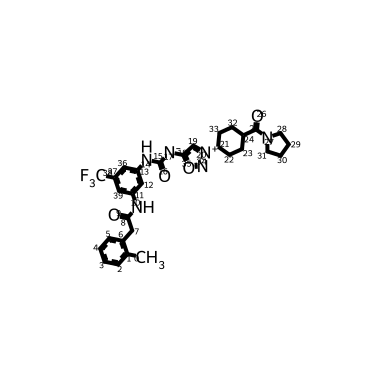 Cc1ccccc1CC(=O)Nc1cc(NC(=O)[N-]c2c[n+](C3CCC(C(=O)N4CCCC4)CC3)no2)cc(C(F)(F)F)c1